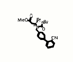 CCCCC(=O)N(Cc1ccc(-c2ccccc2C#N)cc1)[C@H](CC(=O)OC)C(C)C